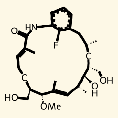 CO[C@H]1/C(C)=C/[C@@H](C)[C@H](O)[C@@H](CO)C[C@@H](C)Cc2cccc(c2F)NC(=O)/C(C)=C/CC[C@@H]1CO